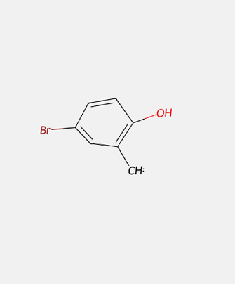 [CH]c1cc(Br)ccc1O